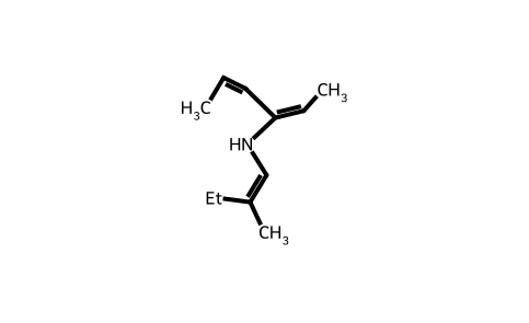 C/C=C\C(=C/C)N/C=C(/C)CC